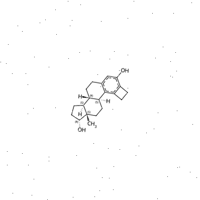 C[C@]12CC[C@@H]3c4c(cc(O)c5c4CC5)CC[C@H]3[C@@H]1CC[C@H]2O